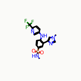 CNS(=O)(=O)c1ccc(Nc2ccc(C(F)(F)F)nc2)c(-c2cn(C)cn2)c1